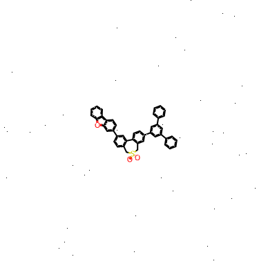 O=S1(=O)Cc2cc(-c3cc(-c4ccccc4)cc(-c4ccccc4)c3)ccc2-c2cc(-c3ccc4c(c3)oc3ccccc34)ccc2C1